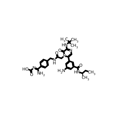 CC[C@@H](C)NC(=O)c1cc(N)cc(-c2cnc(NC(C)(C)C)c(=O)n2CC(=O)NCc2ccc(/C(N)=N/C(=O)O)cc2)c1